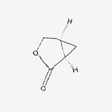 O=C1OC[C@H]2C[C@@H]12